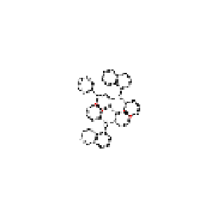 c1ccc(-c2ccc(-c3ccccc3N(c3ccccc3)c3cccc4ccccc34)c(N(c3ccccc3)c3cccc4ccccc34)c2)cc1